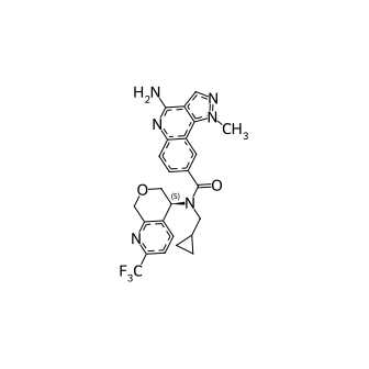 Cn1ncc2c(N)nc3ccc(C(=O)N(CC4CC4)[C@@H]4COCc5nc(C(F)(F)F)ccc54)cc3c21